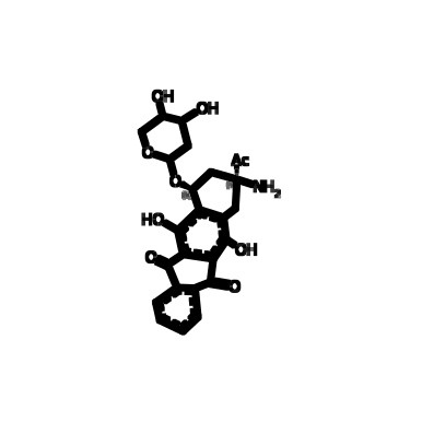 CC(=O)[C@]1(N)Cc2c(O)c3c(c(O)c2[C@@H](OC2CC(O)C(O)CO2)C1)C(=O)c1ccccc1C3=O